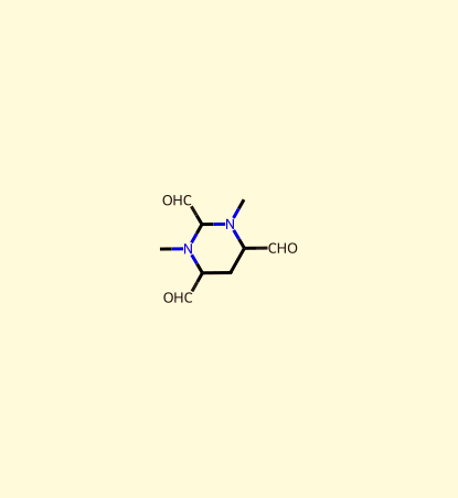 CN1C(C=O)CC(C=O)N(C)C1C=O